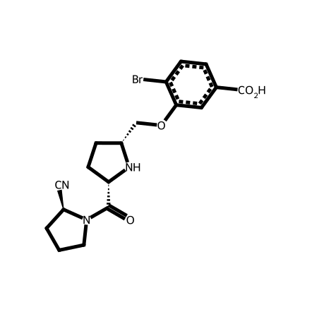 N#C[C@@H]1CCCN1C(=O)[C@@H]1CC[C@H](COc2cc(C(=O)O)ccc2Br)N1